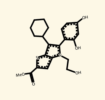 COC(=O)c1cc2c(s1)c(C1CCCCC1)c(-c1ccc(O)cc1O)n2CCO